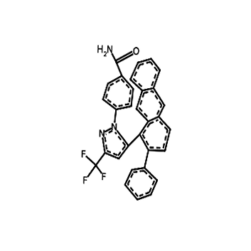 NC(=O)c1ccc(-n2nc(C(F)(F)F)cc2-c2c(-c3ccccc3)ccc3cc4ccccc4cc23)cc1